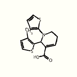 Cc1ccsc1C1C(C(=O)O)=CCCN1c1cccs1